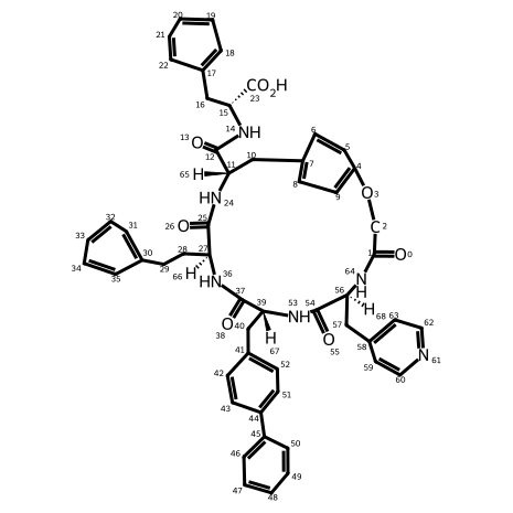 O=C1COc2ccc(cc2)C[C@@H](C(=O)N[C@H](Cc2ccccc2)C(=O)O)NC(=O)[C@H](CCc2ccccc2)NC(=O)[C@@H](Cc2ccc(-c3ccccc3)cc2)NC(=O)[C@H](Cc2ccncc2)N1